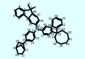 CC1(C)c2ccccc2-c2cc(N(c3ccc(C4CC5CCC4C5)cc3)c3ccc(C4(c5ccccc5)CCCCCCC4)cc3)ccc21